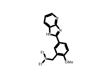 CCN(CC)Cc1cc(-c2nc3ncccc3[nH]2)ccc1OC